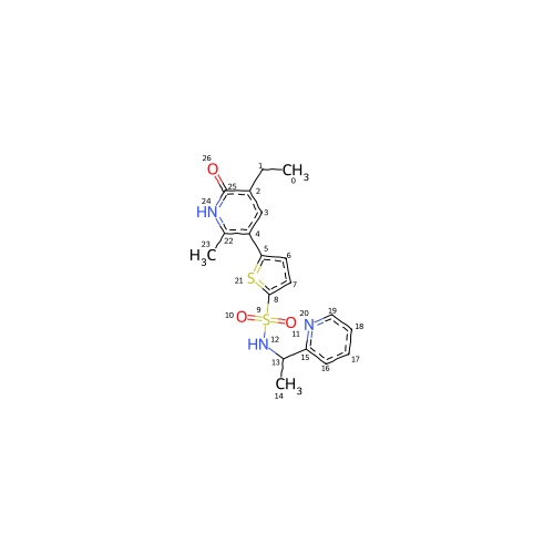 CCc1cc(-c2ccc(S(=O)(=O)NC(C)c3ccccn3)s2)c(C)[nH]c1=O